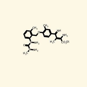 CCOC(=O)/C(N)=C(\C)C(=N)c1ccc(OCc2c(C)cccc2N(N)C(=O)N(C)N)c(C)c1